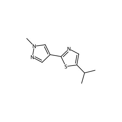 CC(C)c1cnc(-c2cnn(C)c2)s1